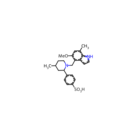 COc1cc(C)c2[nH]ccc2c1CN1CCC(C)CC1c1ccc(S(=O)(=O)O)cc1